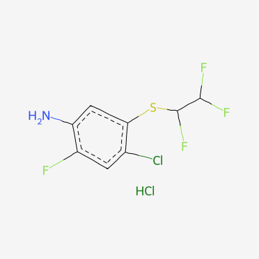 Cl.Nc1cc(SC(F)C(F)F)c(Cl)cc1F